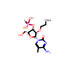 COCCO[C@@H]1[C@H](OP(O)(O)=S)[C@@H](CO)O[C@H]1n1cc(C)c(N)nc1=O